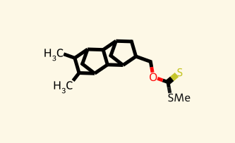 CSC(=S)OCC1CC2CC1C1C3CC(C(C)C3C)C21